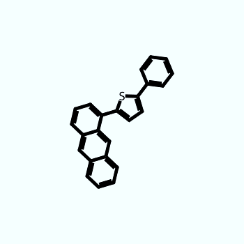 c1ccc(-c2ccc(-c3cccc4cc5ccccc5cc34)s2)cc1